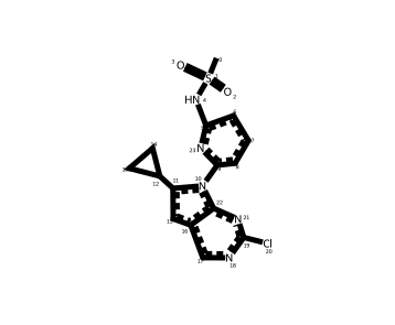 CS(=O)(=O)Nc1cccc(-n2c(C3CC3)cc3cnc(Cl)nc32)n1